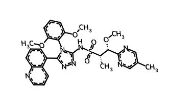 COc1cccc(OC)c1-n1c(NS(=O)(=O)[C@@H](C)[C@H](OC)c2ncc(C)cn2)nnc1-c1cccc2ncccc12